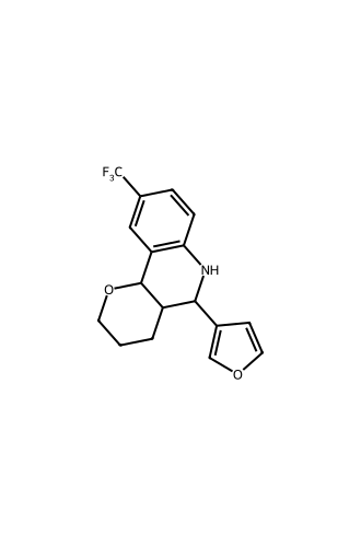 FC(F)(F)c1ccc2c(c1)C1OCCCC1C(c1ccoc1)N2